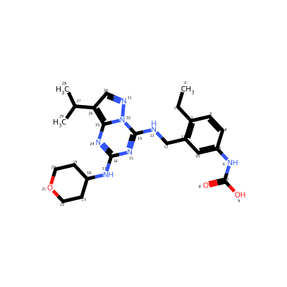 CCc1ccc(NC(=O)O)cc1CNc1nc(NC2CCOCC2)nc2c(C(C)C)cnn12